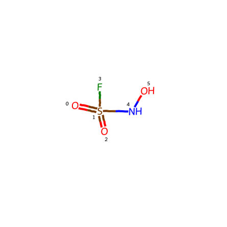 O=S(=O)(F)NO